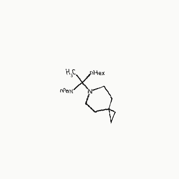 CCCCCCC(C)(CCCCC)N1CCC2(CC1)CC2